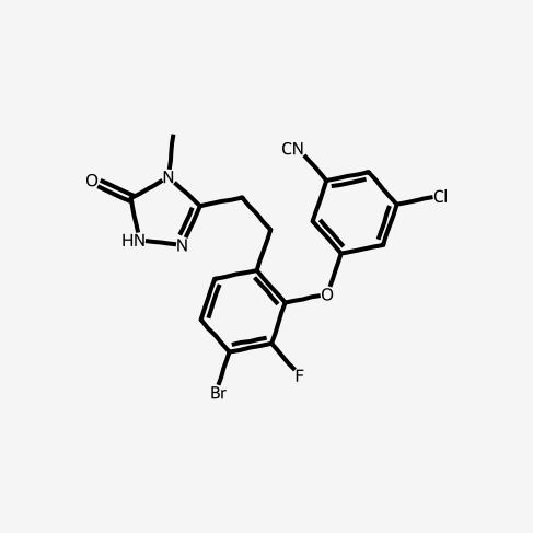 [C-]#[N+]c1cc(Cl)cc(Oc2c(CCc3n[nH]c(=O)n3C)ccc(Br)c2F)c1